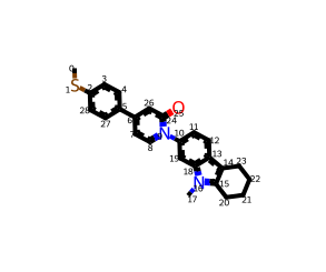 CSc1ccc(-c2ccn(-c3ccc4c5c(n(C)c4c3)CCCC5)c(=O)c2)cc1